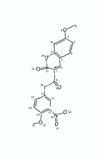 COc1ccc2cc(C(=O)Cc3ccc(OC)c([N+](=O)[O-])c3)c(=O)oc2c1